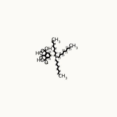 CCCCCCCCP(CCCCCCCC)CCCCCCCC.O=C(O)c1cccc(C(=O)O)c1C(=O)O